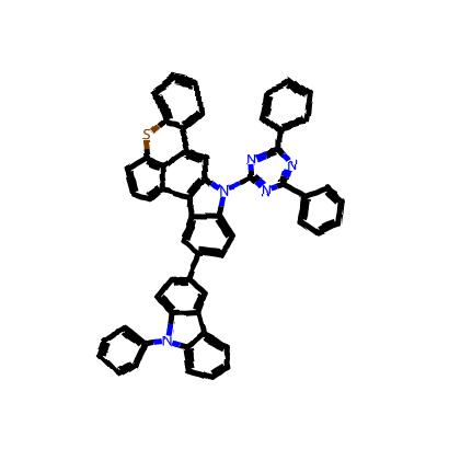 c1ccc(-c2nc(-c3ccccc3)nc(-n3c4ccc(-c5ccc6c(c5)c5ccccc5n6-c5ccccc5)cc4c4c5cccc6c5c(cc43)-c3ccccc3S6)n2)cc1